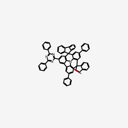 c1ccc(-c2cc3c4c(c2)C2(c5ccccc5-c5ccccc52)c2cc(-c5nc(-c6ccccc6)nc(-c6ccccc6)n5)cc5c6cc(-c7ccccc7)cc(c6n-4c25)C32c3ccccc3-c3ccccc32)cc1